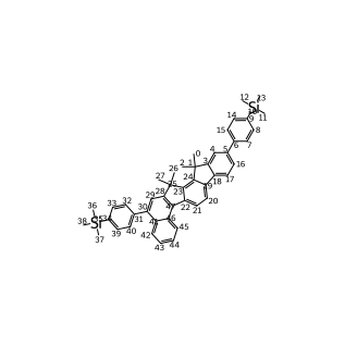 CC1(C)c2cc(-c3ccc([Si](C)(C)C)cc3)ccc2-c2ccc3c(c21)C(C)(C)c1cc(-c2ccc([Si](C)(C)C)cc2)c2ccccc2c1-3